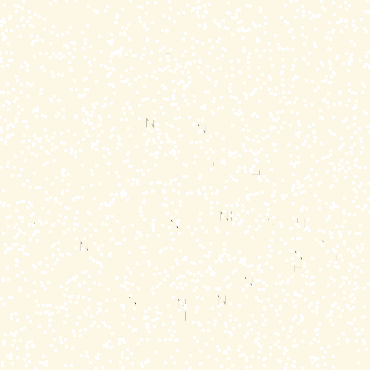 [2H]C([2H])([2H])NC(=O)c1nnc(Nc2ccc(N3CCOCC3)cn2)cc1Nc1nccc(-c2ncc(F)cn2)c1OC